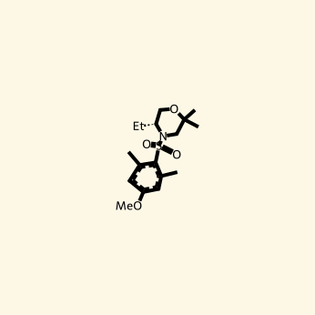 CC[C@@H]1COC(C)(C)CN1S(=O)(=O)c1c(C)cc(OC)cc1C